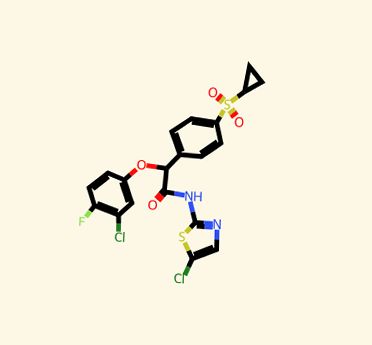 O=C(Nc1ncc(Cl)s1)C(Oc1ccc(F)c(Cl)c1)c1ccc(S(=O)(=O)C2CC2)cc1